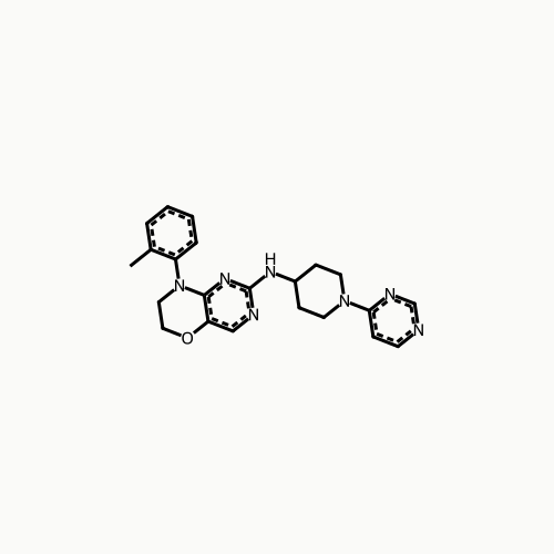 Cc1ccccc1N1CCOc2cnc(NC3CCN(c4ccncn4)CC3)nc21